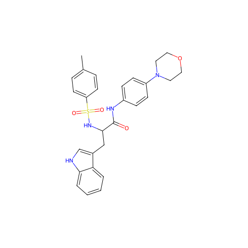 Cc1ccc(S(=O)(=O)NC(Cc2c[nH]c3ccccc23)C(=O)Nc2ccc(N3CCOCC3)cc2)cc1